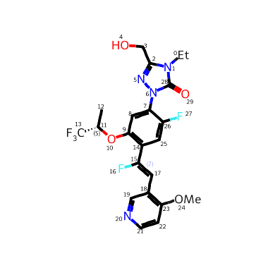 CCn1c(CO)nn(-c2cc(O[C@@H](C)C(F)(F)F)c(/C(F)=C/c3cnccc3OC)cc2F)c1=O